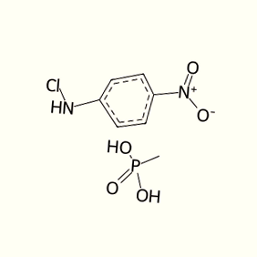 CP(=O)(O)O.O=[N+]([O-])c1ccc(NCl)cc1